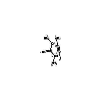 CC#CCCCC.CC(C)(C)OC(=O)NN